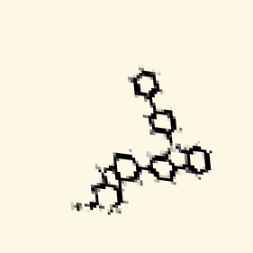 C=C/C=c1/oc2ccc(-c3ccc4c5ccccc5n(-c5ccc(-c6ccccc6)cc5)c4c3)cc2/c1=C/C